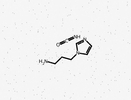 N=C=O.NCCCn1ccnc1